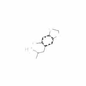 CC(N)Cc1cc2c(cc1Cl)OCO2